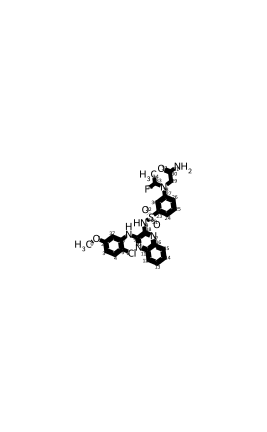 COc1ccc(Cl)c(Nc2nc3ccccc3nc2NS(=O)(=O)c2cccc(N(CC(N)=O)C(C)F)c2)c1